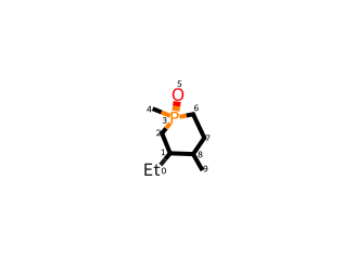 CCC1CP(C)(=O)CCC1C